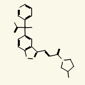 CC(C)C(C(N)=O)(c1cccnc1)c1ccc2[nH]nc(C=CC(=O)N3CCC(O)C3)c2c1